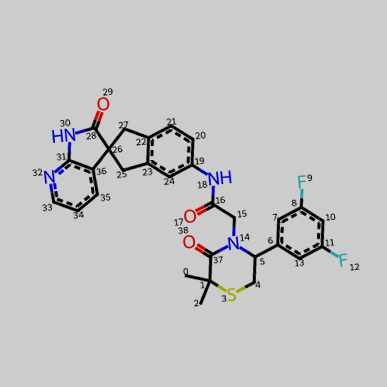 CC1(C)SCC(c2cc(F)cc(F)c2)N(CC(=O)Nc2ccc3c(c2)CC2(C3)C(=O)Nc3ncccc32)C1=O